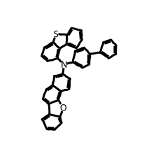 c1ccc(-c2ccc(N(c3ccc4c(ccc5c6ccccc6oc45)c3)c3cccc4sc5ccccc5c34)cc2)cc1